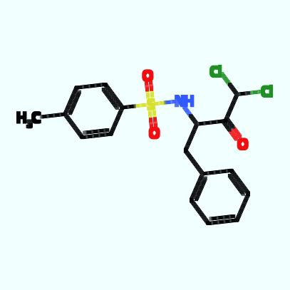 Cc1ccc(S(=O)(=O)NC(Cc2ccccc2)C(=O)C(Cl)Cl)cc1